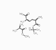 C=C(C)C(=O)OC.C=C(CC=C(C)C(=O)O)C(=O)OC(C)(C)C